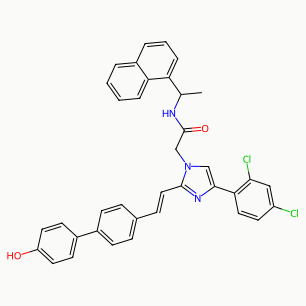 CC(NC(=O)Cn1cc(-c2ccc(Cl)cc2Cl)nc1C=Cc1ccc(-c2ccc(O)cc2)cc1)c1cccc2ccccc12